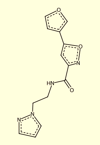 O=C(NCCn1cccn1)c1cc(-c2ccoc2)on1